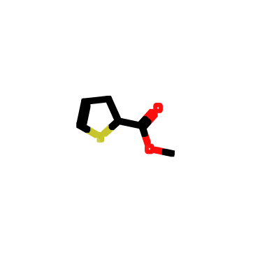 COC(=O)C1CC=CS1